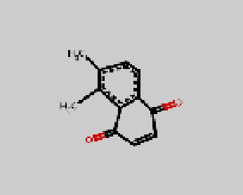 Cc1ccc2c(c1C)C(=O)C=CC2=O